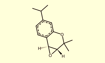 CC(C)c1ccc2c(c1)OC(C)(C)[C@@H]1O[C@@H]21